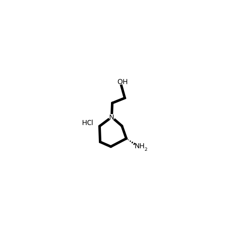 Cl.N[C@@H]1CCCN(CCO)C1